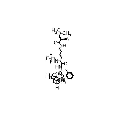 CC(C)C=C(C#N)C(=O)NCCCC[C@H](NCC(F)(F)F)C(=O)N[C@@H](Cc1ccccc1)B1O[C@@H]2C[C@@H]3C[C@@H](C3(C)C)[C@]2(C)O1